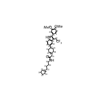 COc1ccc(-c2[nH]c3ccc(C4CCN(CC(=O)NCCCCN5CCCC5)CC4)cc3c2CC(F)(F)F)cc1OC